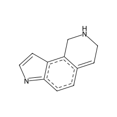 C1=Cc2c3c(ccc2=N1)=CCNC3